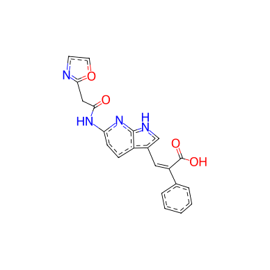 O=C(Cc1ncco1)Nc1ccc2c(C=C(C(=O)O)c3ccccc3)c[nH]c2n1